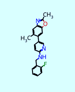 Cc1nc2cc(C)c(-c3ccc(NCc4ccccc4F)nc3)cc2o1